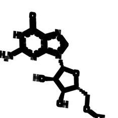 Nc1nc2c(ncn2[C@@H]2O[C@H](COC(F)(F)F)[C@@H](O)[C@H]2O)c(=O)[nH]1